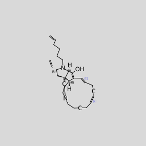 C=CCCCCN1[C@H]2C(O)=C3/C=C/CC/C=C\CCCCN4CC[C@@H]3[C@]2(C[C@@H]1C=C)C4